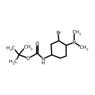 CN(C)C1CCC(NC(=O)OC(C)(C)C)CC1Br